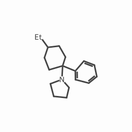 [CH2]CC1CCC(c2ccccc2)(N2CCCC2)CC1